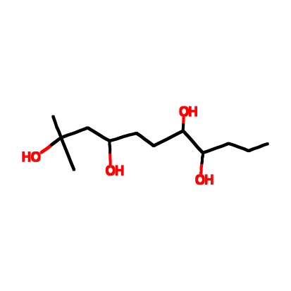 CCCC(O)C(O)CCC(O)CC(C)(C)O